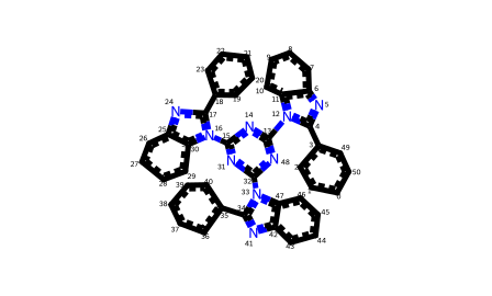 c1ccc(-c2nc3ccccc3n2-c2nc(-n3c(-c4ccccc4)nc4ccccc43)nc(-n3c(-c4ccccc4)nc4ccccc43)n2)cc1